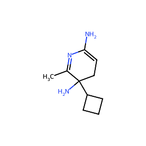 CC1=NC(N)=CCC1(N)C1CCC1